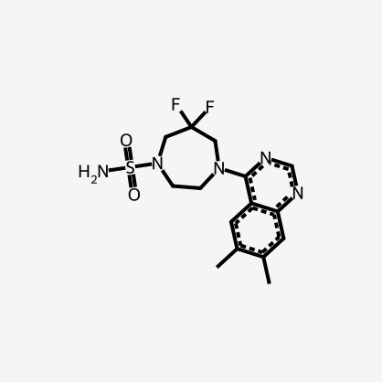 Cc1cc2ncnc(N3CCN(S(N)(=O)=O)CC(F)(F)C3)c2cc1C